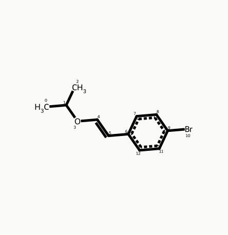 CC(C)OC=Cc1ccc(Br)cc1